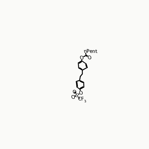 CCCCCC(=O)Oc1ccc(CCc2ccc(OS(=O)(=O)C(F)(F)F)cc2)cc1